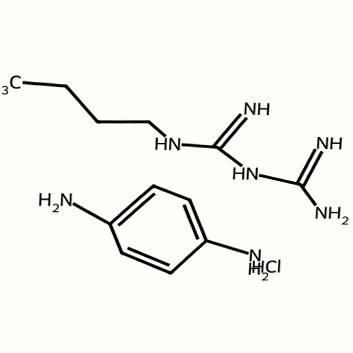 CCCCNC(=N)NC(=N)N.Cl.Nc1ccc(N)cc1